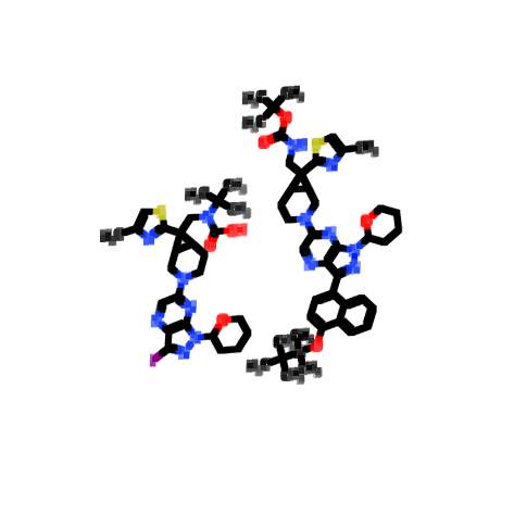 Cc1csc(C2(CN(C(=O)O)C(C)(C)C)C3CCN(c4cnc5c(I)nn(C6CCCCO6)c5n4)CC32)n1.Cc1csc(C2(CNC(=O)OC(C)(C)C)C3CCN(c4cnc5c(-c6ccc(O[Si](C)(C)C(C)(C)C)c7ccccc67)nn(C6CCCCO6)c5n4)CC32)n1